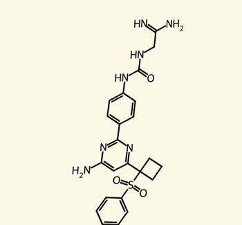 N=C(N)CNC(=O)Nc1ccc(-c2nc(N)cc(C3(S(=O)(=O)c4ccccc4)CCC3)n2)cc1